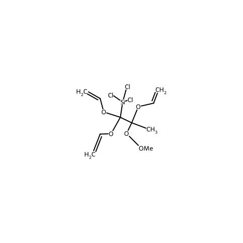 C=COC(C)(OOC)C(OC=C)(OC=C)[Si](Cl)(Cl)Cl